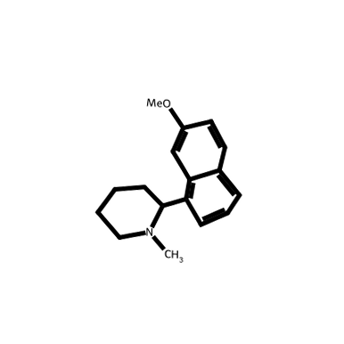 COc1ccc2cccc(C3CCCCN3C)c2c1